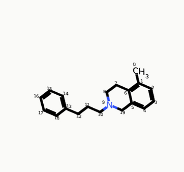 Cc1cccc2c1CCN(CCCc1ccccc1)C2